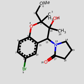 COCC1(C)Oc2ccc(Br)cc2C(N2CCCC2=O)C1(C)O